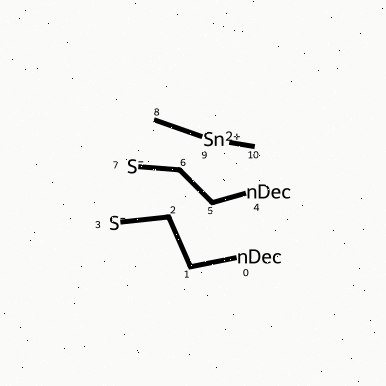 CCCCCCCCCCCC[S-].CCCCCCCCCCCC[S-].[CH3][Sn+2][CH3]